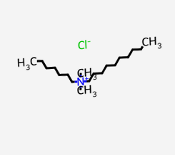 CCCCCCCCCC[N+](C)(C)CCCCCCC.[Cl-]